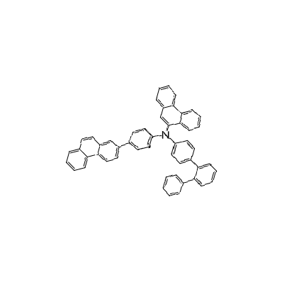 c1ccc(-c2ccccc2-c2ccc(N(c3ccc(-c4ccc5c(ccc6ccccc65)c4)cc3)c3cc4ccccc4c4ccccc34)cc2)cc1